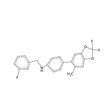 Cc1cc2c(cc1-c1ccc(NCc3cccc(F)c3)cc1)OC(F)(F)O2